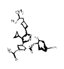 Cc1ccc(NC(=O)[C@@H]2C[C@@H](C(=O)O)C[C@H]2c2noc(C3CC(CC(C)C)C3)c2C2CC2)c(C)c1